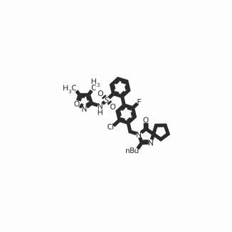 CCCCC1=NC2(CCCC2)C(=O)N1Cc1cc(F)c(-c2ccccc2S(=O)(=O)Nc2noc(C)c2C)cc1Cl